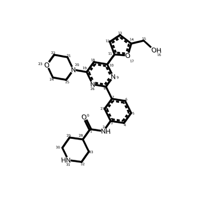 O=C(Nc1cccc(-c2nc(-c3ccc(CO)o3)cc(N3CCOCC3)n2)c1)C1CCNCC1